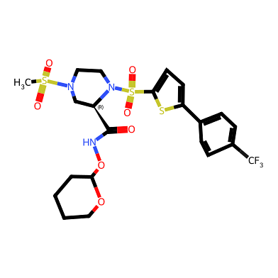 CS(=O)(=O)N1CCN(S(=O)(=O)c2ccc(-c3ccc(C(F)(F)F)cc3)s2)[C@@H](C(=O)NOC2CCCCO2)C1